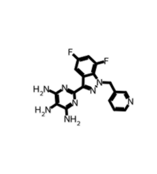 Nc1nc(-c2nn(Cc3cccnc3)c3c(F)cc(F)cc23)nc(N)c1N